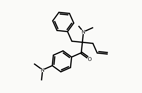 C=CCC(Cc1ccccc1)(C(=O)c1ccc(N(C)C)cc1)N(C)C